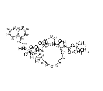 CC(C)(C)OC(=O)N[C@H]1CCCCC/C=C\[C@@H]2C[C@@]2(C(=O)NS(=O)(=O)NCCc2cccc3ccccc23)NC(=O)[C@@H]2CCCN2C1=O